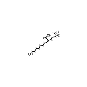 CCCCCCCCCC(CCC[Si](Cl)(Cl)Cl)C(=O)O